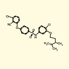 C[C@H](CCOc1cc(NS(=O)(=O)c2ccc(Oc3cccc(Cl)c3C#N)cc2)ccc1Cl)N(C)C